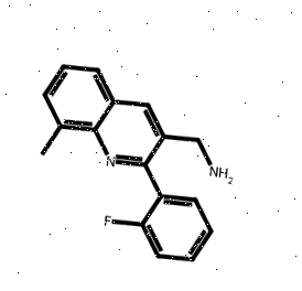 Cc1cccc2cc(CN)c(-c3ccccc3F)nc12